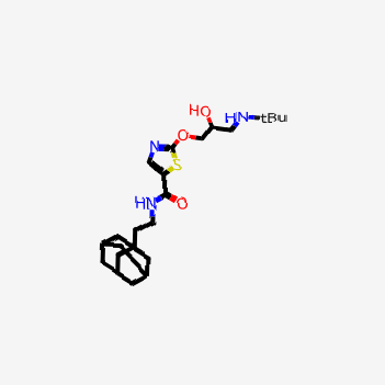 CC(C)(C)NCC(O)COc1ncc(C(=O)NCCC23CC4CC(CC(C4)C2)C3)s1